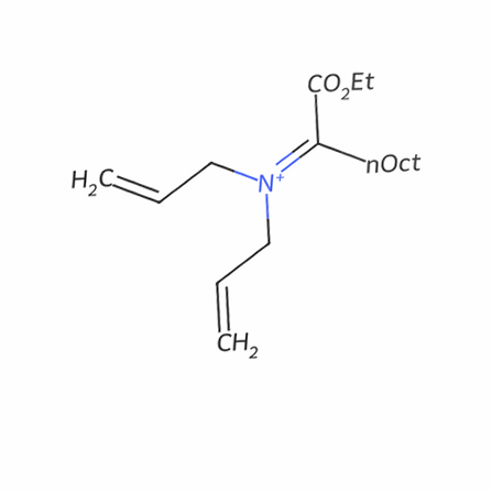 C=CC[N+](CC=C)=C(CCCCCCCC)C(=O)OCC